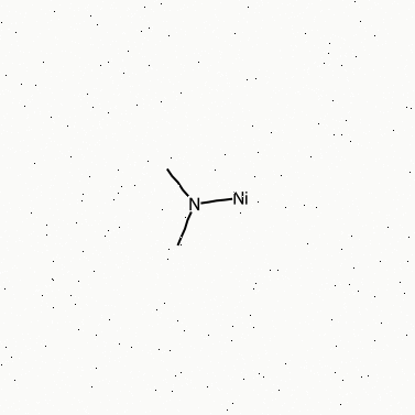 C[N](C)[Ni]